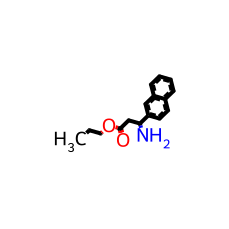 CCCOC(=O)CC(N)c1ccc2ccccc2c1